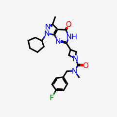 Cc1nn(C2CCCCC2)c2nc(C3CN(C(=O)N(C)Cc4ccc(F)cc4)C3)[nH]c(=O)c12